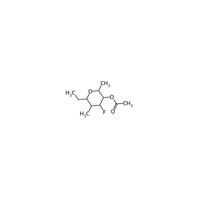 CCC1OC(C)C(OC(C)=O)C(F)C1C